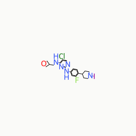 Fc1cc(Nc2ncc(Cl)c(NCC3COC3)n2)ccc1C1CCN(I)CC1